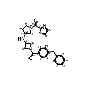 O=C(c1ccc(Cc2ccccc2)cc1)N1CC(N[C@H]2CCN(C(=O)c3nccs3)C2)C1